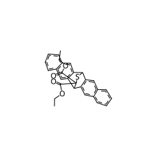 CCOC(=O)C1(C(=O)OCC)SC2c3cc4ccccc4cc3C1c1cc3ccccc3cc12